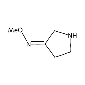 CON=C1CCNC1